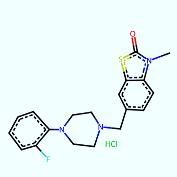 Cl.Cn1c(=O)sc2cc(CN3CCN(c4ccccc4F)CC3)ccc21